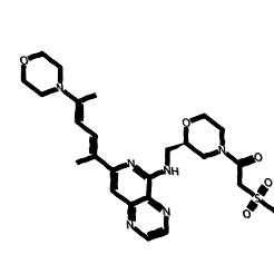 C/C(=C\C=C(/C)N1CCOCC1)c1cc2nccnc2c(NC[C@@H]2CN(C(=O)CS(C)(=O)=O)CCO2)n1